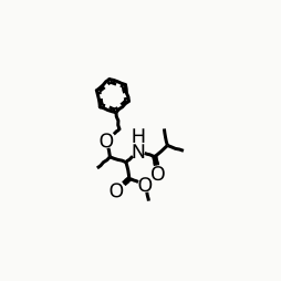 COC(=O)C(NC(=O)C(C)C)C(C)OCc1ccccc1